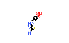 N#Cc1csc2c(NCc3ccc(B(O)O)cc3)ncnc12